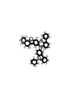 c1ccc(-n2c3ccccc3c3cc(N(c4ccc5oc6c7ccccc7ccc6c5c4)c4cccc5c4sc4ccccc45)ccc32)cc1